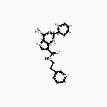 O=C(NCCc1cccnc1)c1csc2c(O)nc(-c3ccccn3)nc12